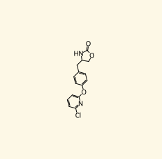 O=C1NC(Cc2ccc(Oc3cccc(Cl)n3)cc2)CO1